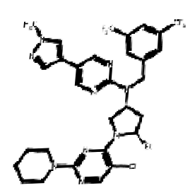 CC[C@@H]1C[C@H](N(Cc2cc(C(F)(F)F)cc(C(F)(F)F)c2)c2ncc(-c3cnn(C)c3)cn2)CN1c1nc(N2CCCCC2)ncc1Cl